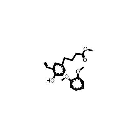 C=Cc1cc(CCCC(=O)OC)ccc1O.COc1ccccc1OC